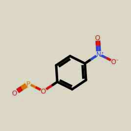 O=POc1ccc([N+](=O)[O-])cc1